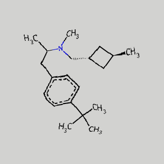 CC(Cc1ccc(C(C)(C)C)cc1)N(C)C[C@H]1C[C@H](C)C1